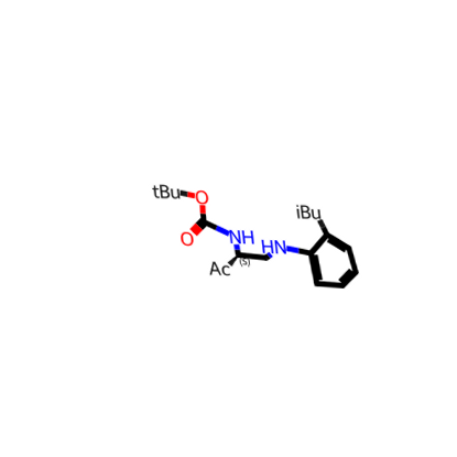 CCC(C)c1ccccc1NC[C@H](NC(=O)OC(C)(C)C)C(C)=O